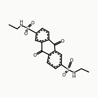 CCNS(=O)(=O)c1ccc2c(c1)C(=O)c1ccc(S(=O)(=O)NCC)cc1C2=O